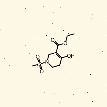 CCOC(=O)C1=C(O)CCN(S(C)(=O)=O)C1